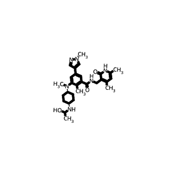 Cc1cc(C)c(CNC(=O)c2cc(-c3cnn(C)c3)cc(N(C)[C@H]3CC[C@@H](NC(C)O)CC3)c2C)c(=O)[nH]1